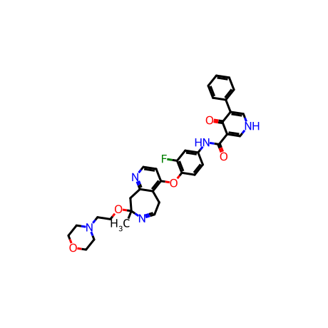 CC1(OCCN2CCOCC2)Cc2nccc(Oc3ccc(NC(=O)c4c[nH]cc(-c5ccccc5)c4=O)cc3F)c2CC=N1